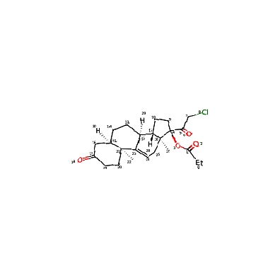 CCC(=O)O[C@]1(C(=O)CCl)CC[C@H]2[C@@H]3CC[C@@H]4CC(=O)CC[C@]4(C)C3=CC[C@@]21C